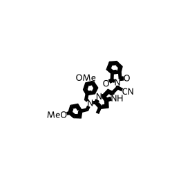 COc1ccc(CN(Cc2ccc(OC)cc2)c2nc3cc(C(C#N)N4C(=O)c5ccccc5C4=O)[nH]c3cc2C)cc1